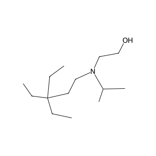 CCC(CC)(CC)CCN(CCO)C(C)C